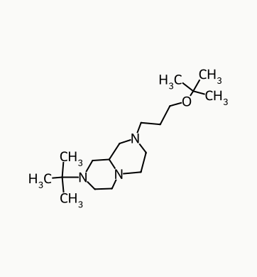 CC(C)(C)OCCCN1CCN2CCN(C(C)(C)C)CC2C1